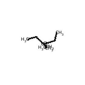 CCCCCCCC/C=C\CCCCCCCCOC(CC[N+](C)(C)C)OCCCCCCCC/C=C\CCCCCCCC